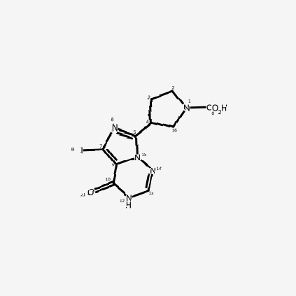 O=C(O)N1CCC(c2nc(I)c3c(=O)[nH]cnn23)C1